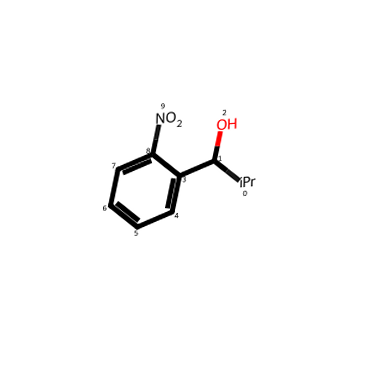 CC(C)C(O)c1ccccc1[N+](=O)[O-]